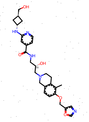 Cc1c(OCc2cnco2)ccc2c1CCN(C[C@@H](O)CNC(=O)c1ccnc(N[C@H]3C[C@H](CO)C3)c1)C2